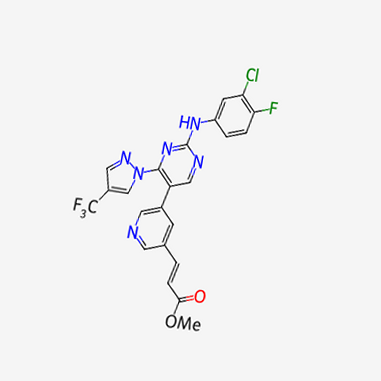 COC(=O)/C=C/c1cncc(-c2cnc(Nc3ccc(F)c(Cl)c3)nc2-n2cc(C(F)(F)F)cn2)c1